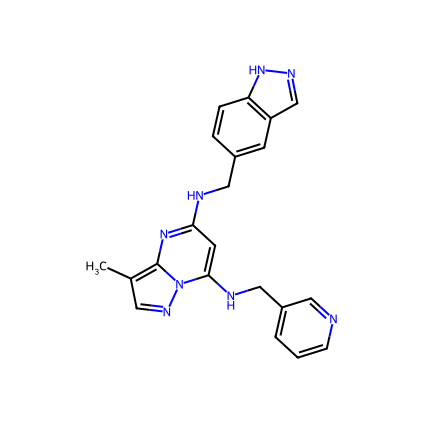 Cc1cnn2c(NCc3cccnc3)cc(NCc3ccc4[nH]ncc4c3)nc12